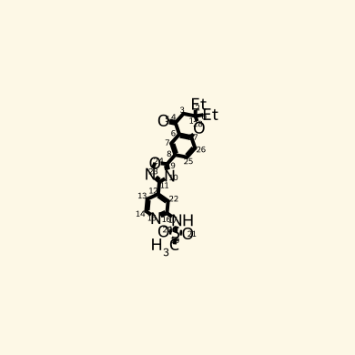 CCC1(CC)CC(=O)c2cc(-c3nc(-c4ccnc(NS(C)(=O)=O)c4)no3)ccc2O1